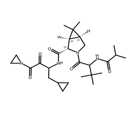 CC(C)C(=O)NC(C(=O)N1C[C@H]2[C@@H]([C@H]1C(=O)NC(CC1CC1)C(=O)C(=O)N1CC1)C2(C)C)C(C)(C)C